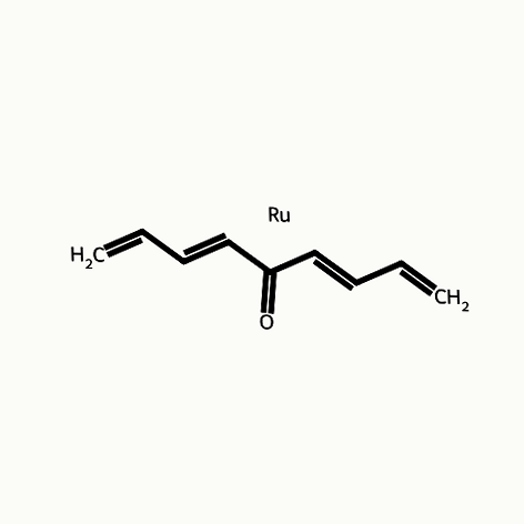 C=CC=CC(=O)C=CC=C.[Ru]